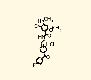 CNc1cc(OC)c(C(=O)NCCN2CCC(C(=O)c3ccc(F)cc3)CC2)cc1Cl.Cl